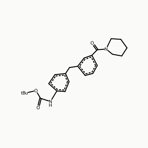 CC(C)(C)OC(=O)Nc1ccc(Cc2cccc(C(=O)N3CCCCC3)c2)cc1